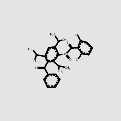 CC(C)c1cc(C(C)C)c([PH](=O)C(=O)c2c(Cl)cccc2Cl)c(C(C)C)c1C(=O)c1ccccc1